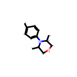 Cc1ccc(N2C(C)COCC2C)cc1